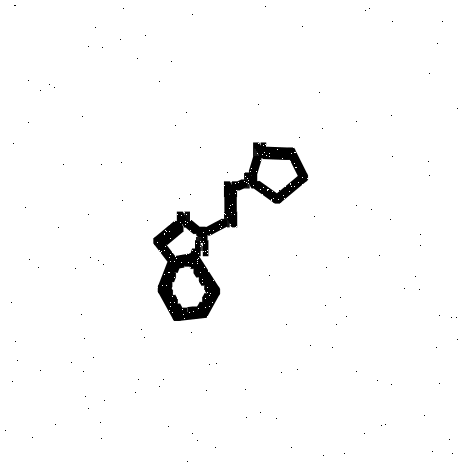 C1=NN(N=N[SH]2N=Cc3ccccc32)CC1